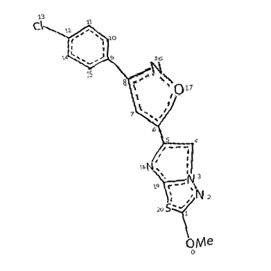 COc1nn2cc(-c3cc(-c4ccc(Cl)cc4)no3)nc2s1